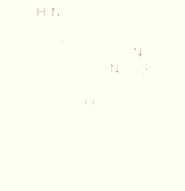 COCC1(C)CC(c2nc(-c3cccc(C(N)=O)c3)no2)=CC=C1c1ccccc1